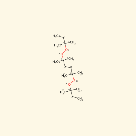 CCC(C)(C)OOC(C)(C)CCC(C)(C)OOC(C)(C)CC